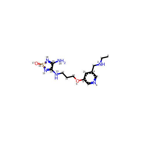 CCNCc1cncc(OCCCNc2n[s+]([O-])nc2N)c1